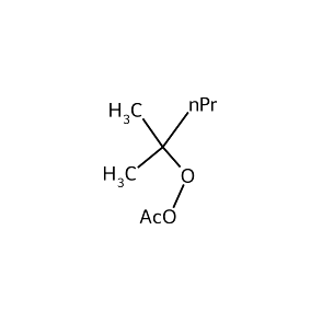 C[CH]CC(C)(C)OOC(C)=O